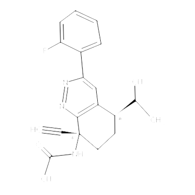 C#C[C@]1(NC(C)=O)CC[C@H](C(C)C)c2cc(-c3ccccc3F)nnc21